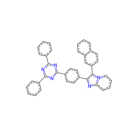 c1ccc(-c2nc(-c3ccccc3)nc(-c3ccc(-c4nc5ccccn5c4-c4ccc5ccccc5c4)cc3)n2)cc1